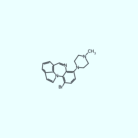 CN1CCN(c2ccc(Br)c3c2N=Cc2cccc4ccn-3c24)CC1